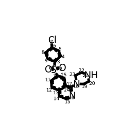 O=S(=O)(c1ccc(Cl)cc1)c1ccc2ccnc(N3CCNCC3)c2c1